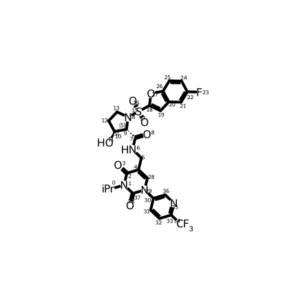 CC(C)n1c(=O)c(CNC(=O)[C@@H]2[C@@H](O)CCN2S(=O)(=O)c2cc3cc(F)ccc3o2)cn(-c2ccc(C(F)(F)F)nc2)c1=O